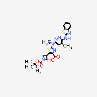 Cc1cc(N(C)c2nc(C(=O)O)c(C3CN(C(=O)OC(C)(C)C)C3)s2)nnc1Nc1nc2ccccc2s1